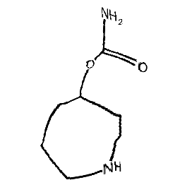 NC(=O)OC1CCCNCC1